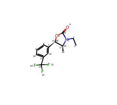 CCN1C(=O)O[C@H](c2cccc(C(F)(F)F)c2)[C@@H]1C